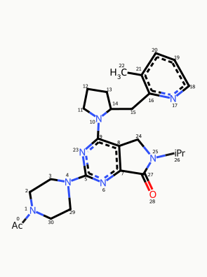 CC(=O)N1CCN(c2nc3c(c(N4CCCC4Cc4ncccc4C)n2)CN(C(C)C)C3=O)CC1